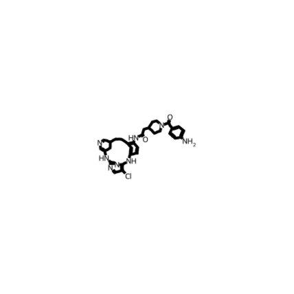 Nc1ccc(C(=O)N2CCC(CC(=O)Nc3ccc4cc3CCC3C=NC=C(C3)Nc3ncc(Cl)c(n3)N4)CC2)cc1